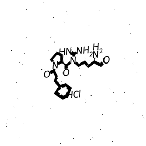 Cl.N=C(N)N(CCC[C@H](N)C=O)C(=O)[C@@H]1CCCN1C(=O)CCc1ccccc1